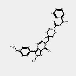 CCn1nc2c(=O)n(CC3(O)CCN(C(=O)C[C@@H](C)c4ccccc4)CC3)cnc2c1-c1ccc(CN)cc1